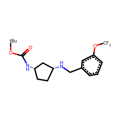 CC(C)(C)OC(=O)N[C@H]1CC[C@@H](NCc2cccc(OC(F)(F)F)c2)C1